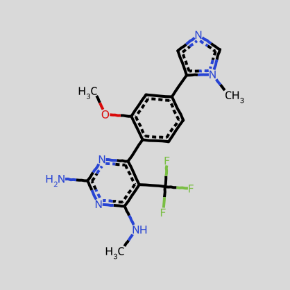 CNc1nc(N)nc(-c2ccc(-c3cncn3C)cc2OC)c1C(F)(F)F